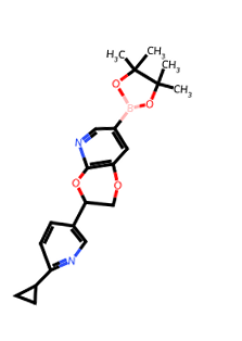 CC1(C)OB(c2cnc3c(c2)OCC(c2ccc(C4CC4)nc2)O3)OC1(C)C